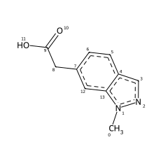 Cn1ncc2ccc(CC(=O)O)cc21